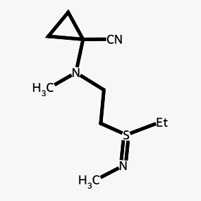 CC/S(CCN(C)C1(C#N)CC1)=N/C